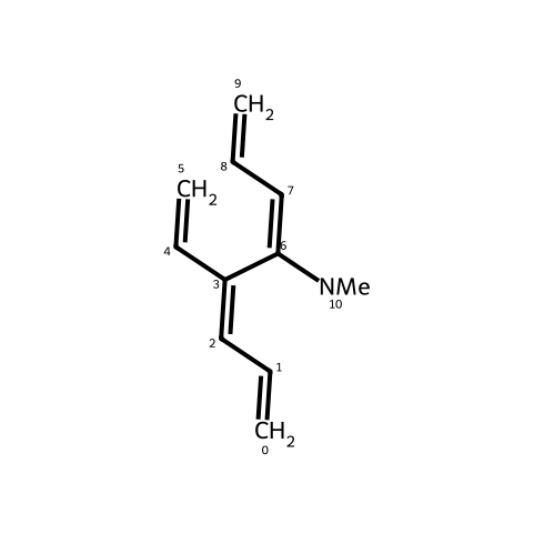 C=C/C=C(C=C)\C(=C/C=C)NC